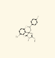 CSC1=NC2(CC(c3ccc(F)cc3)Oc3ccc(Br)cc32)C(=O)N1C